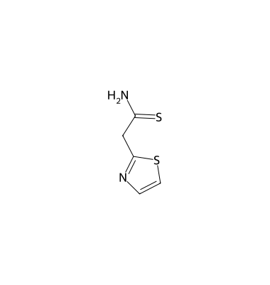 NC(=S)Cc1nccs1